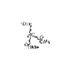 CCCCCCCCCCCCC=CC(OCCCC(=O)OC)OCCCC(=O)OC